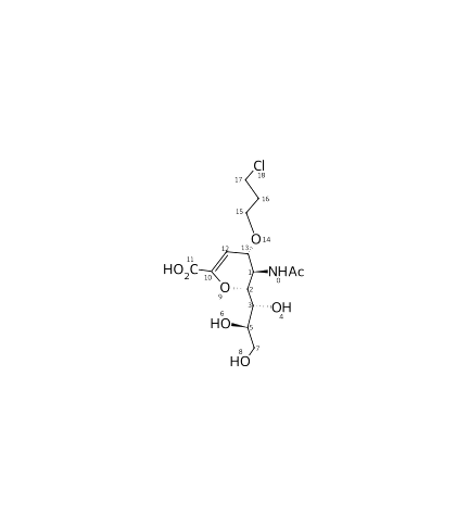 CC(=O)N[C@H]1[C@H]([C@H](O)[C@H](O)CO)OC(C(=O)O)=C[C@@H]1OCCCCl